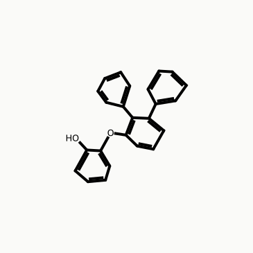 Oc1ccccc1Oc1cccc(-c2ccccc2)c1-c1ccccc1